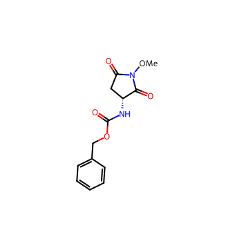 CON1C(=O)C[C@@H](NC(=O)OCc2ccccc2)C1=O